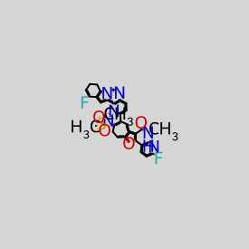 CNC(=O)c1c(-c2ccc(F)nc2)oc2c1=CC(c1ccc3ncn4c5c(cc4c3n1)C(F)=CCC5)=C(N(C)S(C)(=O)=O)CC=2